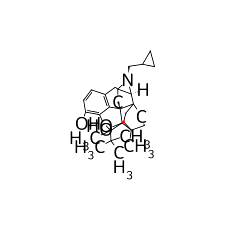 CC12CCC3(CC1C(C)(O)C(C)(C)C)[C@@H]1[N@](CC4CC4)C14Cc1ccc(O)c5c1[C@@]3(C4)C2O5